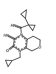 N=C(n1c2c(n(CC3CC3)c(=O)c1=N)COCC2)C1(C2CC2)CC1